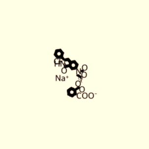 O=C([O-])c1ccccc1C(=O)OC[C@@H]1CN(c2ccc3cc(-c4ccccc4C(F)(F)F)[nH]c(=O)c3c2)C(=O)O1.[Na+]